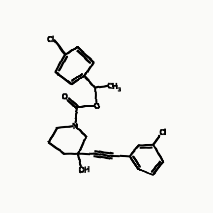 CC(OC(=O)N1CCCC(O)(C#Cc2cccc(Cl)c2)C1)c1ccc(Cl)cc1